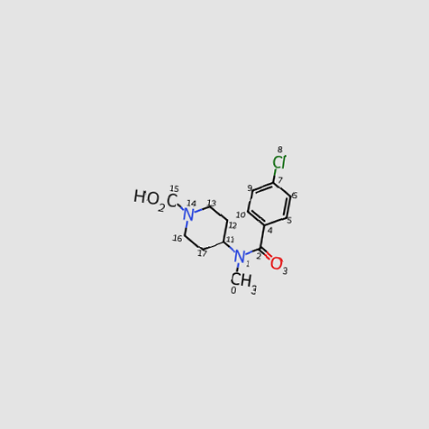 CN(C(=O)c1ccc(Cl)cc1)C1CCN(C(=O)O)CC1